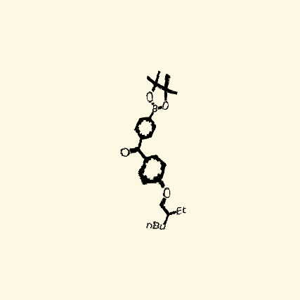 CCCCC(CC)COc1ccc(C(=O)c2ccc(B3OC(C)(C)C(C)(C)O3)cc2)cc1